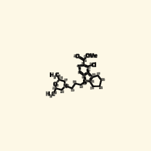 COC(=O)c1ccc2c(c1Cl)c1c(n2CCCN2CC(C)OC(C)C2)CCCC1